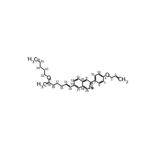 C=CCOc1ccc(-c2cc3ccc(C=CCCCC(C)OCCCCC)cc3cn2)cc1